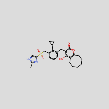 Cc1nc(S(=O)(=O)Cc2cccc(Cc3c(O)c4c(oc3=O)CCCCCC4)c2C2CC2)c[nH]1